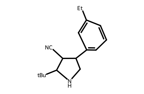 CCc1cccc(C2CNC(C(C)(C)C)C2C#N)c1